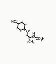 C[C@@H](COC1CCC(O)CC1)NC(=O)O